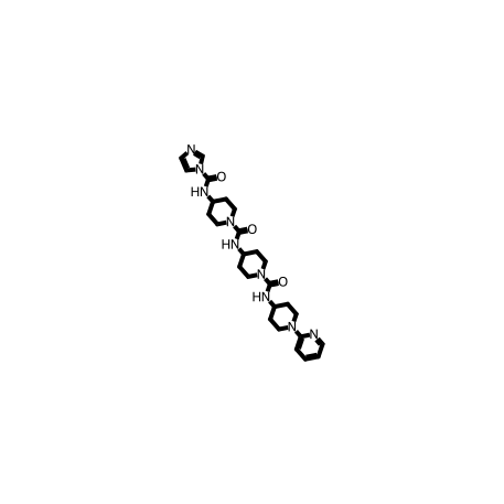 O=C(NC1CCN(c2ccccn2)CC1)N1CCC(NC(=O)N2CCC(NC(=O)n3ccnc3)CC2)CC1